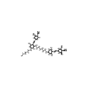 CCCCCCCc1cc(C)c(C#Cc2ccc(C#N)c(F)c2)c(CCCCCCCCc2cc(C)c(C#Cc3cc(F)c(C#N)c(F)c3)c(C)c2)c1